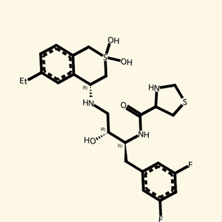 CCc1ccc2c(c1)[C@@H](NC[C@@H](O)[C@H](Cc1cc(F)cc(F)c1)NC(=O)C1CSCN1)CS(O)(O)C2